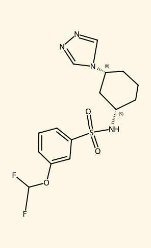 O=S(=O)(N[C@H]1CCC[C@@H](n2cnnc2)C1)c1cccc(OC(F)F)c1